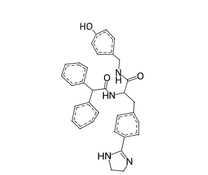 O=C(NCc1ccc(O)cc1)C(Cc1ccc(C2=NCCN2)cc1)NC(=O)C(c1ccccc1)c1ccccc1